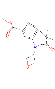 COC(=O)c1ccc2c(c1)N(C1COC1)C(=O)C2(C)C